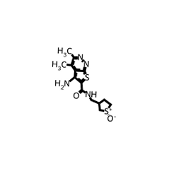 Cc1nnc2sc(C(=O)NCC3CC[S+]([O-])C3)c(N)c2c1C